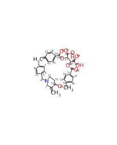 C[C@H]1CN(Cc2ccccc2)CCC1=O.Cc1ccc(C(=O)OC(C(=O)O)C(OC(=O)c2ccc(C)cc2)C(=O)O)cc1